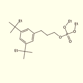 CCOP(=O)(OCC)OCCCc1cc(C(C)(C)CC)cc(C(C)(C)CC)c1